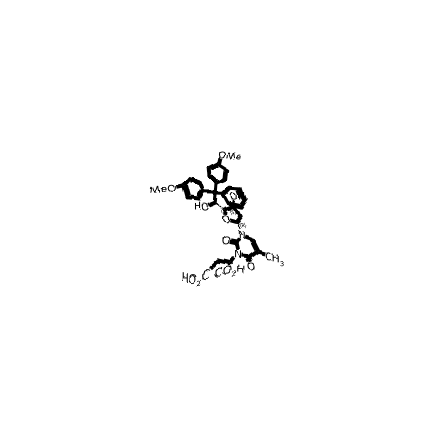 COc1ccc(C(c2ccccc2)(c2ccc(OC)cc2)C(O)[C@H]2O[C@@H](n3cc(C)c(=O)n(C(CC(=O)O)C(=O)O)c3=O)C[C@@H]2O)cc1